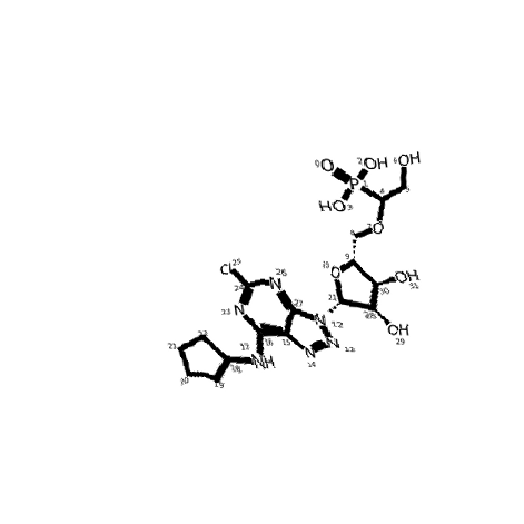 O=P(O)(O)C(CO)OC[C@H]1O[C@@H](n2nnc3c(NC4CCCC4)nc(Cl)nc32)[C@H](O)[C@@H]1O